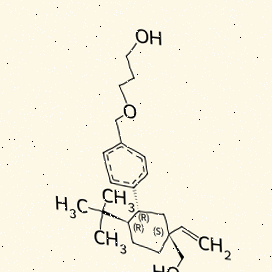 C=C[C@]1(CO)CC[C@@H](C(C)(C)C)[C@H](c2ccc(COCCCO)cc2)C1